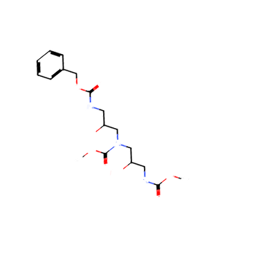 CC(C)(C)OC(=O)NCC(O)CN(CC(O)CNC(=O)OCc1ccccc1)C(=O)OC(C)(C)C